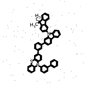 CC1(C)c2ccccc2-c2cc(-n3c4ccccc4c4ccc(-c5cccc(-c6ccc7c(c6)Sc6ccccc6N7c6cccc(-c7ccccc7)c6)c5)cc43)ccc21